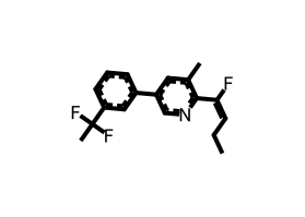 CC/C=C(/F)c1ncc(-c2cccc(C(C)(F)F)c2)cc1C